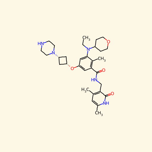 CCN(c1cc(O[C@H]2C[C@@H](N3CCNCC3)C2)cc(C(=O)NCc2c(C)cc(C)[nH]c2=O)c1C)C1CCOCC1